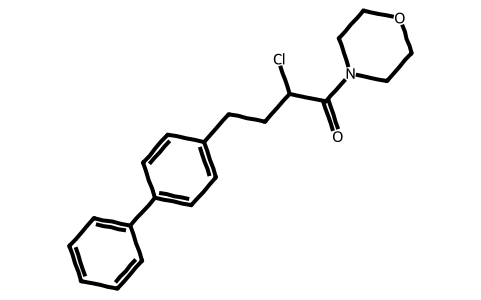 O=C(C(Cl)CCc1ccc(-c2ccccc2)cc1)N1CCOCC1